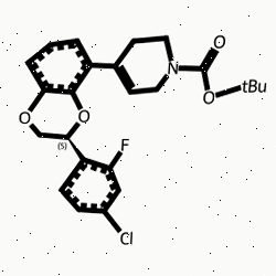 CC(C)(C)OC(=O)N1CC=C(c2cccc3c2O[C@@H](c2ccc(Cl)cc2F)CO3)CC1